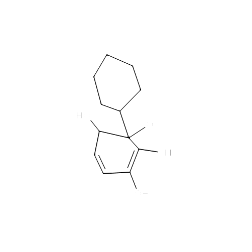 CC1=C(O)C=CC(O)C1(O)C1CCCCC1